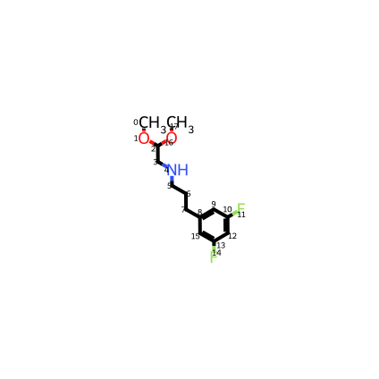 COC(CNCCCc1cc(F)cc(F)c1)OC